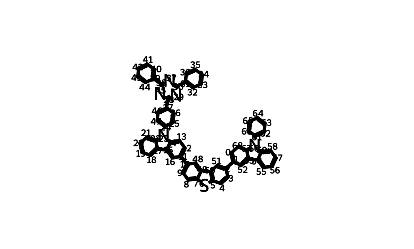 C1=C(c2ccc3sc4ccc(-c5ccc6c(c5)c5ccccc5n6-c5ccc(-c6nc(-c7ccccc7)nc(-c7ccccc7)n6)cc5)cc4c3c2)C=C2c3ccccc3N(c3ccccc3)C2C1